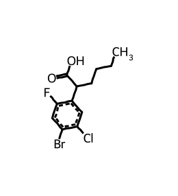 CCCCC(C(=O)O)c1cc(Cl)c(Br)cc1F